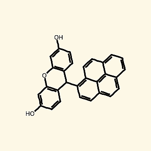 Oc1ccc2c(c1)Oc1cc(O)ccc1C2c1ccc2ccc3cccc4ccc1c2c34